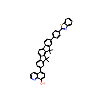 CC1(C)c2cc(-c3ccc(-c4nc5ccccc5s4)cc3)ccc2-c2ccc3c(c21)C(C)(C)c1cc(-c2ccc(O)c4ncccc24)ccc1-3